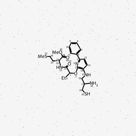 CCC(Oc1nc(-c2ccccc2)ccc1NCC(N)CS)C(=O)N[C@@H](CCSC)C(=O)OC